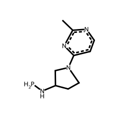 Cc1nccc(N2CCC(NP)C2)n1